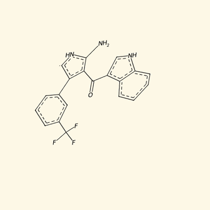 Nc1[nH][c]c(-c2cccc(C(F)(F)F)c2)c1C(=O)c1c[nH]c2ccccc12